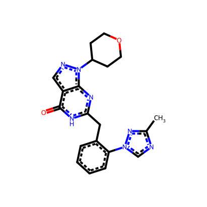 Cc1ncn(-c2ccccc2Cc2nc3c(cnn3C3CCOCC3)c(=O)[nH]2)n1